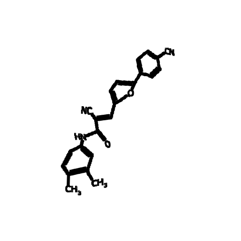 Cc1ccc(NC(=O)/C(C#N)=C/c2ccc(-c3ccc(C#N)cc3)o2)cc1C